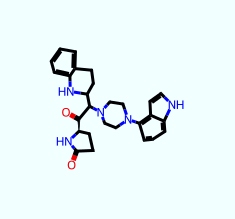 O=C1CC[C@H](C(=O)C(C2CCc3ccccc3N2)N2CCN(c3cccc4[nH]ccc34)CC2)N1